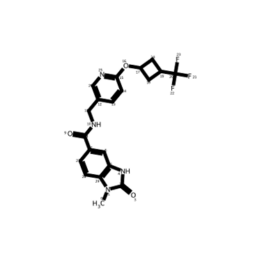 Cn1c(=O)[nH]c2cc(C(=O)NCc3ccc(OC4CC(C(F)(F)F)C4)nc3)ccc21